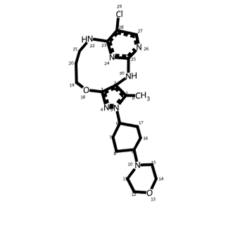 Cc1c2c(nn1C1CCC(N3CCOCC3)CC1)OCCCNc1nc(ncc1Cl)N2